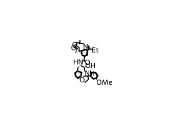 CCc1cn2c3c(cc(C(=O)N[C@@H](Cc4ccccc4)[C@H](O)CNC4(c5cccc(OC)c5)CCOC4)cc13)N(C)S(=O)(=O)C(C)(C)C2